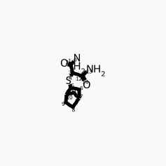 NC(=O)C(SC1CC2CCC1C2)C(N)=O